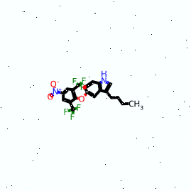 CCCCc1c[nH]c2ccc(Oc3c(C(F)(F)F)cc([N+](=O)[O-])cc3C(F)(F)F)cc12